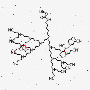 CC(C)(C)OC(=O)NCCCCCCN(CCN(CCCN(CCCN(CCC#N)CCC#N)CCCN(CCC#N)CCC#N)CCCN(CCCN(CCC#N)CCC#N)CCCN(CCC#N)CCC#N)CCN(CCCN(CCCN(CCC#N)CCC#N)CCCN(CCC#N)CCC#N)CCCN(CCCN(CCC#N)CCC#N)CCN(CC#N)CC#N